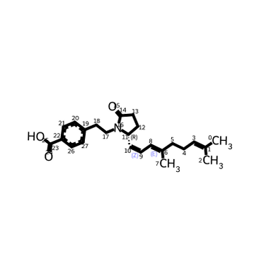 CC(C)=CCC/C(C)=C/C=C\[C@H]1CCC(=O)N1CCc1ccc(C(=O)O)cc1